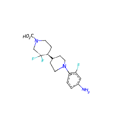 Nc1ccc(N2CCC([C@@H]3CCN(C(=O)O)CC3(F)F)CC2)c(F)c1